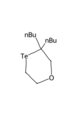 CCCCC1(CCCC)COCC[Te]1